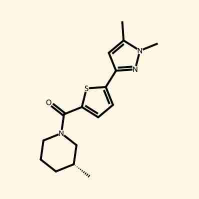 Cc1cc(-c2ccc(C(=O)N3CCC[C@@H](C)C3)s2)nn1C